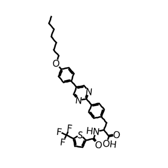 CCCCCCCOc1ccc(-c2cnc(-c3ccc(CC(NC(=O)c4ccc(C(F)(F)F)s4)C(=O)O)cc3)nc2)cc1